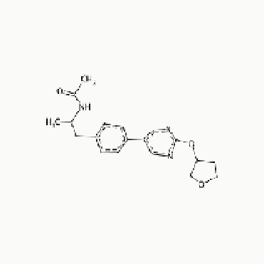 CC(=O)NC(C)Cc1ccc(-c2cnc(OC3CCOC3)nc2)cc1